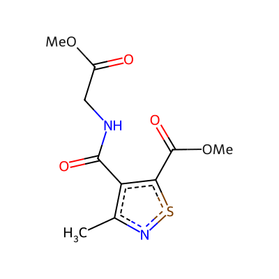 COC(=O)CNC(=O)c1c(C)nsc1C(=O)OC